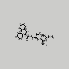 Nc1nc(N)c2cc(COC(=O)c3cc4ccccc4c4ccccc34)ccc2n1